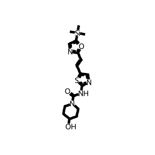 C[Si](C)(C)c1cnc(C=Cc2cnc(NC(=O)N3CCC(O)CC3)s2)o1